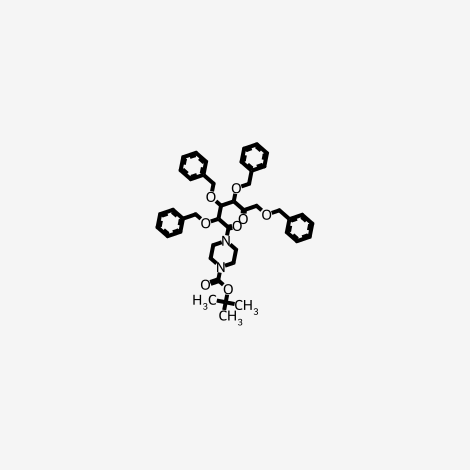 CC(C)(C)OC(=O)N1CCN(C(=O)C(OCc2ccccc2)C(OCc2ccccc2)C(OCc2ccccc2)C(=O)COCc2ccccc2)CC1